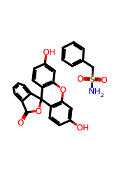 NS(=O)(=O)Cc1ccccc1.O=C1OC2(c3ccc(O)cc3Oc3cc(O)ccc32)c2ccccc21